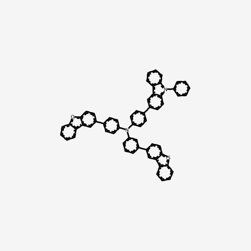 c1ccc(-n2c3ccccc3c3cc(-c4ccc(N(c5ccc(-c6ccc7oc8ccccc8c7c6)cc5)c5cccc(-c6ccc7sc8ccccc8c7c6)c5)cc4)ccc32)cc1